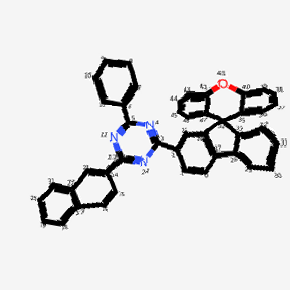 C1=CC(c2nc(-c3ccccc3)nc(-c3ccc4ccccc4c3)n2)CC2=C1c1ccccc1C21c2ccccc2Oc2ccccc21